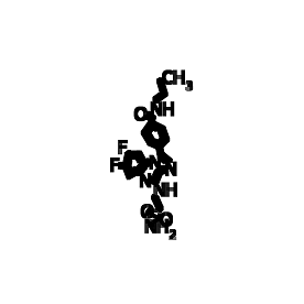 CCCCNC(=O)c1ccc(-c2cnc3c(NCCS(N)(=O)=O)nc4cc(F)c(F)cc4n23)cc1